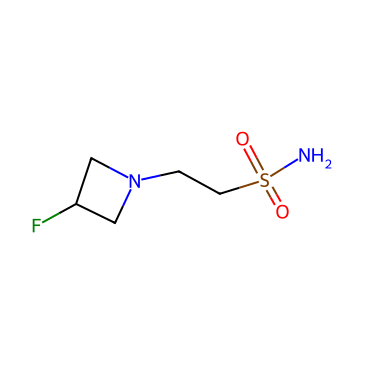 NS(=O)(=O)CCN1CC(F)C1